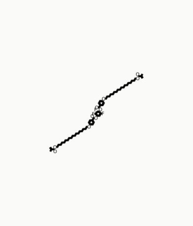 C=C(C)C(=O)OCCCCCCCCCCCCCCCCCCOc1ccc(C(=O)Oc2cc(F)c(OC(=O)c3ccc(OCCCCCCCCCCCCCCCCCCOC(=O)C(=C)C)cc3)c(F)c2F)cc1